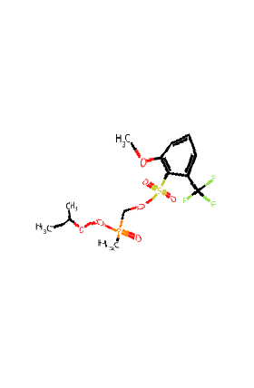 COc1cccc(C(F)(F)F)c1S(=O)(=O)OCP(C)(=O)OOC(C)C